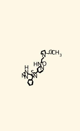 COC[C@@H]1CCCN1CCC(=O)Nc1cc(-c2nc(-c3ccccc3)c(-c3nnc[nH]3)s2)ccn1